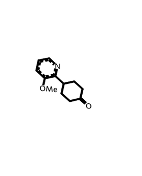 COc1cccnc1C1CCC(=O)CC1